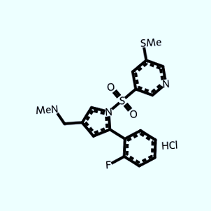 CNCc1cc(-c2ccccc2F)n(S(=O)(=O)c2cncc(SC)c2)c1.Cl